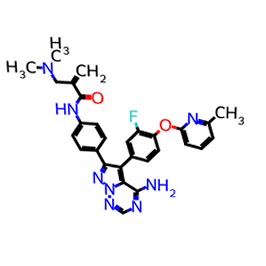 C=C(CN(C)C)C(=O)Nc1ccc(-c2nn3ncnc(N)c3c2-c2ccc(Oc3cccc(C)n3)c(F)c2)cc1